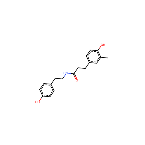 Cc1cc(CCC(=O)NCCc2ccc(O)cc2)ccc1O